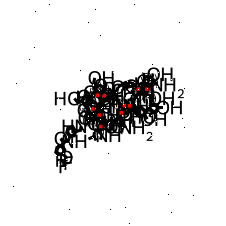 CN[C@H](CC(C)C)C(=O)NC1C(=O)NC(CC(N)=O)C(=O)N[C@H]2C(=O)N[C@H]3C(=O)N[C@H](C(=O)N[C@@H](O)c4cc(O)cc(O)c4-c4cc3ccc4O)[C@H](O[C@H]3C[C@](C)(N)[C@@H](O)[C@H](C)O3)c3ccc(c(Cl)c3)Oc3cc2cc(c3O[C@@H]2O[C@H](CO)[C@@H](O[C@@H]3O[C@H](CO)[C@@H](O[C@@H]4O[C@H](CNCc5cccc(NC(=O)c6cccc(OC(F)(F)F)c6)c5)[C@H](O)[C@H](O)[C@H]4O)[C@H](O)[C@H]3O)[C@H](O)[C@H]2O)Oc2ccc(cc2Cl)[C@H]1O